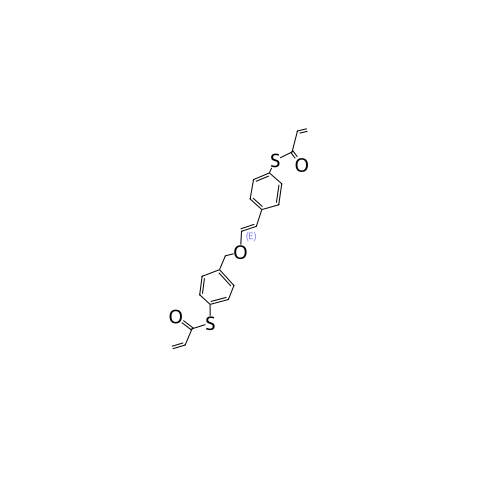 C=CC(=O)Sc1ccc(/C=C/OCc2ccc(SC(=O)C=C)cc2)cc1